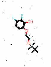 CC(C)(C)[Si](C)(C)OCCOc1ccc(F)c(F)c1O